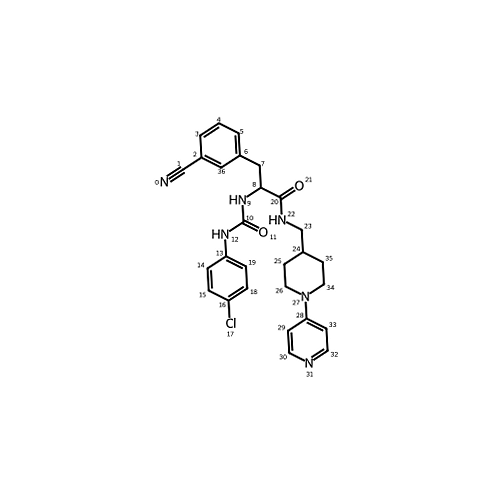 N#Cc1cccc(CC(NC(=O)Nc2ccc(Cl)cc2)C(=O)NCC2CCN(c3ccncc3)CC2)c1